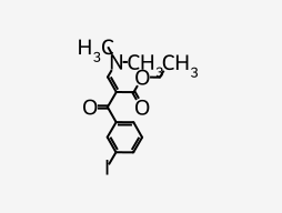 CCOC(=O)/C(=C\N(C)C)C(=O)c1cccc(I)c1